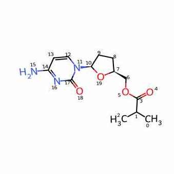 CC(C)C(=O)OC[C@@H]1CC[C@H](n2ccc(N)nc2=O)O1